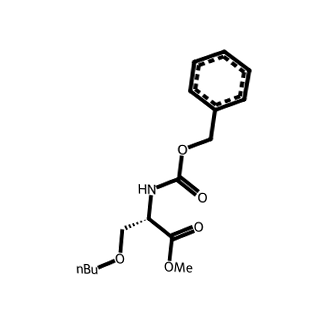 CCCCOC[C@H](NC(=O)OCc1ccccc1)C(=O)OC